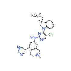 CN1CCc2c(cc(Nc3ncc(Cl)c(N4CC(C)(CC(=O)O)c5ccccc54)n3)cc2-c2cncnc2)C1